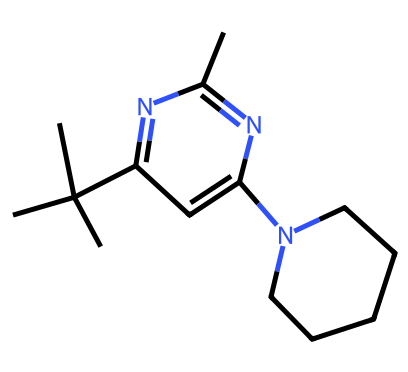 Cc1nc(N2CCCCC2)cc(C(C)(C)C)n1